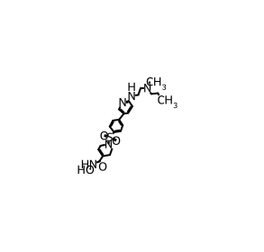 CCCN(C)CCNc1ccc(-c2ccc(S(=O)(=O)N3CC=C(C(=O)NO)CC3)cc2)cn1